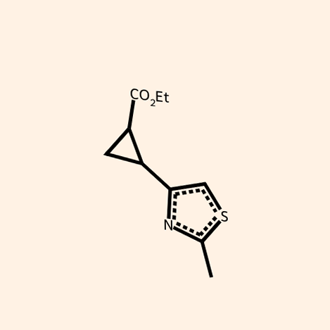 CCOC(=O)C1CC1c1csc(C)n1